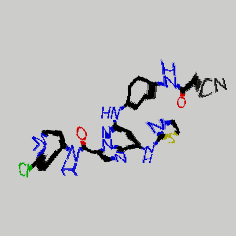 N#CCC(=O)NC1CCC(Nc2cc(Nc3nccs3)c3ncc(C(=O)Nc4ccnc(Cl)c4)n3n2)CC1